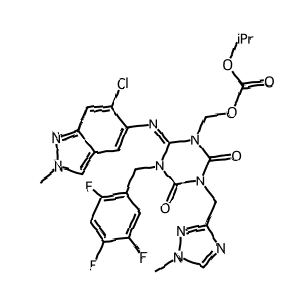 CC(C)OC(=O)OCn1c(=O)n(Cc2ncn(C)n2)c(=O)n(Cc2cc(F)c(F)cc2F)c1=Nc1cc2cn(C)nc2cc1Cl